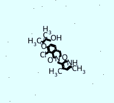 Cc1cc(C)c(CN2CCc3ccc(O[C@@H](C)[C@H](C)CO)c(Cl)c3C2=O)c(=O)[nH]1